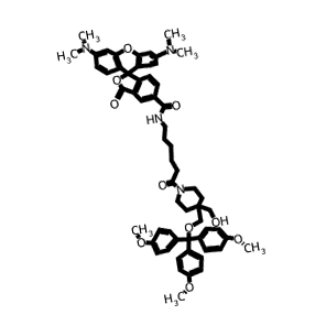 COc1ccc(C(OCC2(CO)CCN(C(=O)CCCCCNC(=O)c3ccc4c(c3)C(=O)OC43c4ccc(N(C)C)cc4Oc4cc(N(C)C)ccc43)CC2)(c2ccc(OC)cc2)c2ccc(OC)cc2)cc1